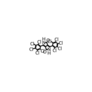 O=C1NC(c2c(Cl)c(Cl)c(Cl)c(Cl)c2Cl)=C2C(=O)NC(c3c(Cl)c(Cl)c(Cl)c(Cl)c3Cl)=C12